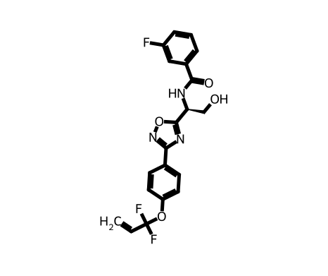 C=CC(F)(F)Oc1ccc(-c2noc([C@H](CO)NC(=O)c3cccc(F)c3)n2)cc1